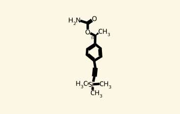 C[C@H](OC(N)=O)c1ccc(C#C[Si](C)(C)C)cc1